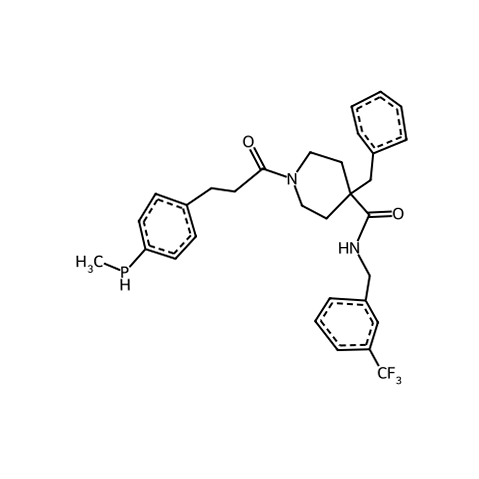 CPc1ccc(CCC(=O)N2CCC(Cc3ccccc3)(C(=O)NCc3cccc(C(F)(F)F)c3)CC2)cc1